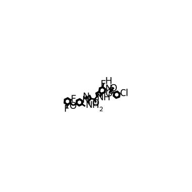 Cc1cc(Oc2c(F)cccc2F)ccc1-n1ncc(C(=O)c2cc3cc(F)c(NS(=O)(=O)c4cccc(Cl)c4)cc3[nH]2)c1N